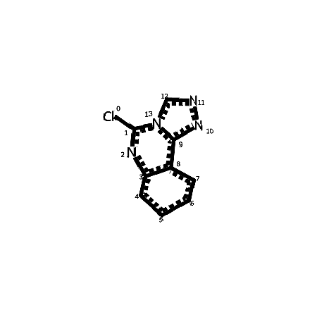 Clc1nc2ccccc2c2nncn12